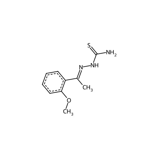 COc1ccccc1C(C)=NNC(N)=S